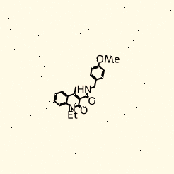 CCn1c(=O)c(C(=O)NCc2ccc(OC)cc2)c(C)c2ccccc21